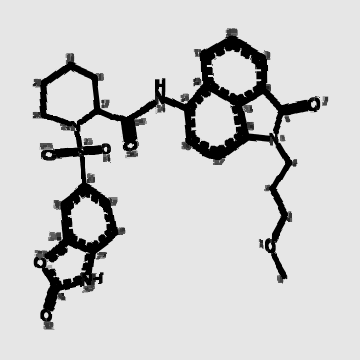 COCCCN1C(=O)c2cccc3c(NC(=O)C4CCCCN4S(=O)(=O)c4ccc5[nH]c(=O)oc5c4)ccc1c23